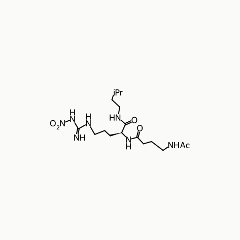 CC(=O)NCCCC(=O)N[C@@H](CCCNC(=N)N[N+](=O)[O-])C(=O)NCCC(C)C